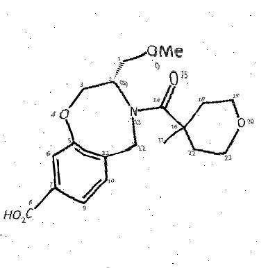 COC[C@H]1COc2cc(C(=O)O)ccc2CN1C(=O)C1(C)CCOCC1